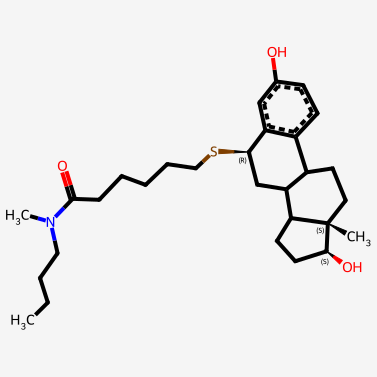 CCCCN(C)C(=O)CCCCCS[C@@H]1CC2C(CC[C@@]3(C)C2CC[C@@H]3O)c2ccc(O)cc21